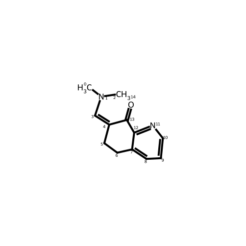 CN(C)/C=C1/CCc2cccnc2C1=O